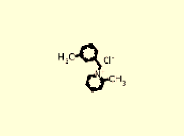 Cc1cccc(C[n+]2ccccc2C)c1.[Cl-]